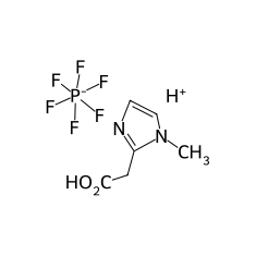 Cn1ccnc1CC(=O)O.F[P-](F)(F)(F)(F)F.[H+]